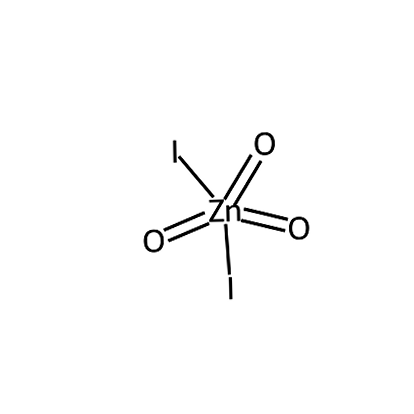 [O]=[Zn](=[O])(=[O])([I])[I]